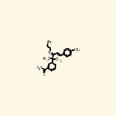 CCCCc1ccc(/C=C/C(=N\CCC(C)C)C(C)(C)C2C=C(C(N)=O)C=CC2)cc1